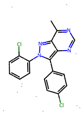 Cc1ncnc2c(-c3ccc(Cl)cc3)n(-c3ccccc3Cl)nc12